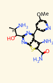 COc1cncc(-c2nc(C(O)[C@@H](C)N)nc3sc(C(N)=O)c(N)c23)c1